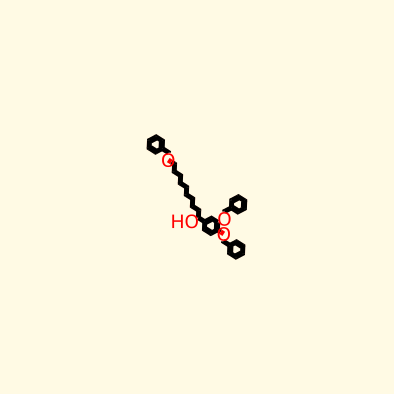 OC(CCCCCCCCCOCc1ccccc1)c1ccc(OCc2ccccc2)c(OCc2ccccc2)c1